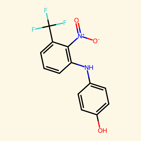 O=[N+]([O-])c1c(Nc2ccc(O)cc2)cccc1C(F)(F)F